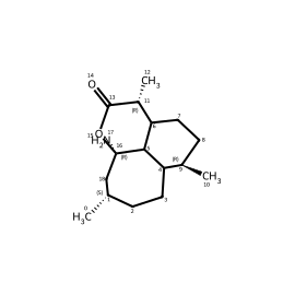 C[C@H]1CCC2C3C(CC[C@H]2C)[C@@H](C)C(=O)O[C@]3(N)C1